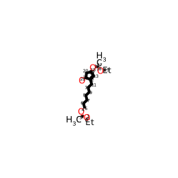 CCOC(C)OCCCCCCCC1=C[C@H](OC(C)OCC)CC1=O